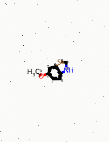 COc1ccc2c(c1)SCN2